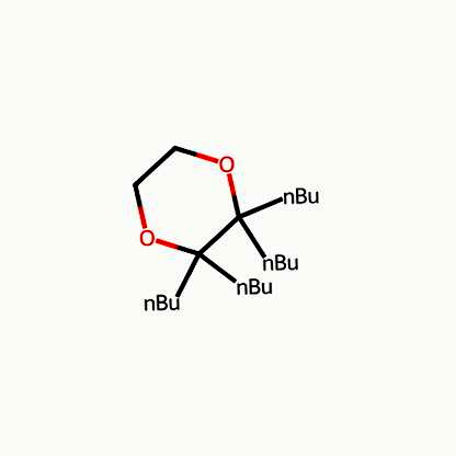 CCCCC1(CCCC)OCCOC1(CCCC)CCCC